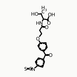 CC(O)C(NC(=O)CCOc1ccc(C(=O)c2ccc(N=C=S)cc2)cc1)C(=O)O